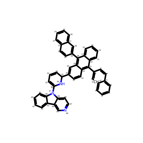 C/C=C(\C=C/c1ccccc1)c1c2ccccc2c(-c2ccc3ccccc3c2)c2cc(C3C=CC=C(n4c5ccccc5c5cnccc54)N3)ccc12